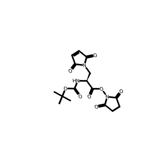 CC(C)(C)OC(=O)N[C@@H](CN1C(=O)C=CC1=O)C(=O)ON1C(=O)CCC1=O